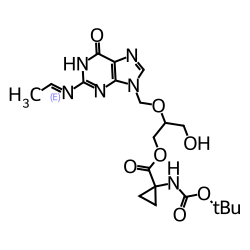 C/C=N/c1nc2c(ncn2COC(CO)COC(=O)C2(NC(=O)OC(C)(C)C)CC2)c(=O)[nH]1